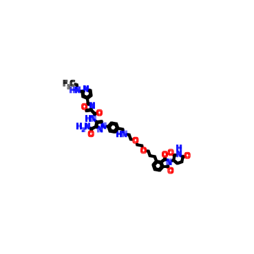 NC(=O)c1nn(-c2ccc(CNCCOCCOCCCc3cccc4c3C(=O)N(C3CCC(=O)NC3=O)C4=O)cc2)cc1NC(=O)c1coc(-c2ccnc(NCC(F)(F)F)c2)n1